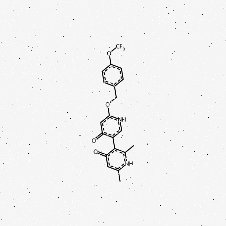 Cc1cc(=O)c(-c2c[nH]c(OCc3ccc(OC(F)(F)F)cc3)cc2=O)c(C)[nH]1